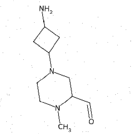 CN1CCN(C2CC(N)C2)CC1C=O